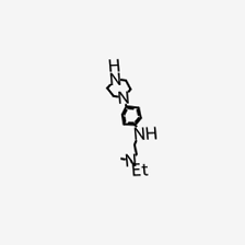 CCN(C)CCNc1ccc(N2CCNCC2)cc1